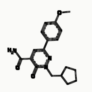 COc1ccc(-c2cc(C(N)=O)c(=O)n(CC3CCCC3)n2)cc1